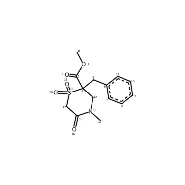 COC(=O)C1(Cc2ccccc2)CN(C)C(=O)CS1(=O)=O